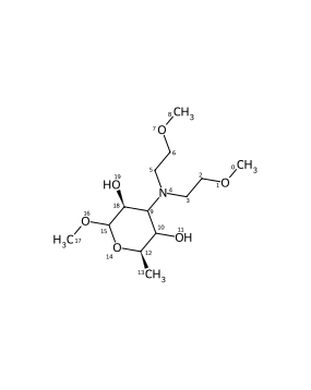 COCCN(CCOC)C1C(O)[C@@H](C)OC(OC)[C@H]1O